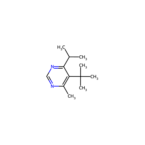 Cc1ncnc(C(C)C)c1C(C)(C)C